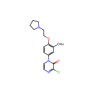 COc1cc(-n2ccnc(Cl)c2=O)ccc1OCCN1CCCC1